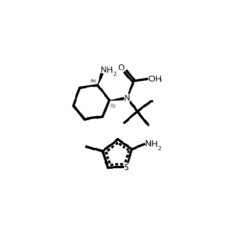 CC(C)(C)N(C(=O)O)[C@H]1CCCC[C@H]1N.Cc1csc(N)c1